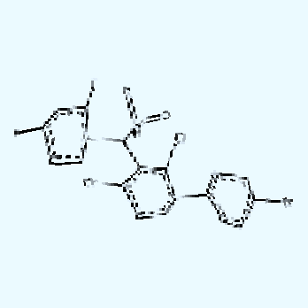 O=[SH](=O)C(c1ccc(F)cc1F)c1c(Cl)ccc(-c2ccc(Br)cc2)c1Cl